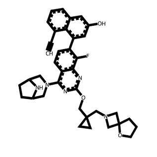 C#Cc1cccc2cc(O)cc(-c3ccc4c(N5CC6CCC(C5)N6)nc(OCC5(CN6CC7(CCCO7)C6)CC5)nc4c3F)c12